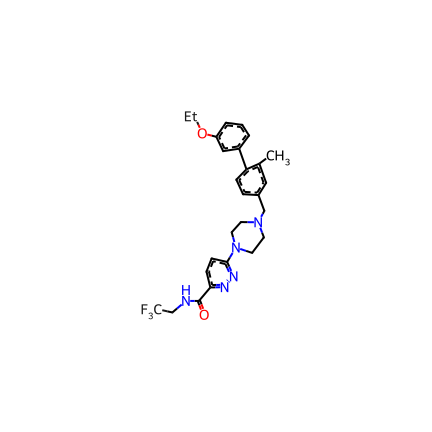 CCOc1cccc(-c2ccc(CN3CCN(c4ccc(C(=O)NCC(F)(F)F)nn4)CC3)cc2C)c1